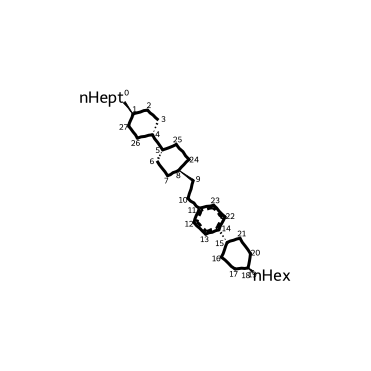 CCCCCCC[C@H]1CC[C@H]([C@H]2CC[C@H](CCc3ccc([C@H]4CC[C@H](CCCCCC)CC4)cc3)CC2)CC1